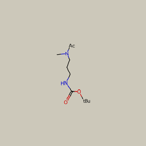 CC(=O)N(C)CCCNC(=O)OC(C)(C)C